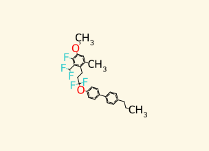 CCCc1ccc(-c2ccc(OC(F)(F)CCc3c(C)cc(OCC)c(F)c3C(F)F)cc2)cc1